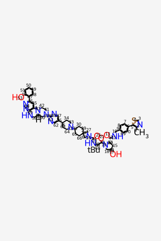 Cc1ncsc1-c1ccc(CNC(=O)[C@@H]2C[C@@H](O)CN2C(=O)[C@@H](NC(=O)N2CC3(CCC(N4CCC(c5cnc(N6CCN7c8cc(-c9ccccc9O)nnc8NC[C@H]7C6)nc5)CC4)CC3)C2)C(C)(C)C)cc1